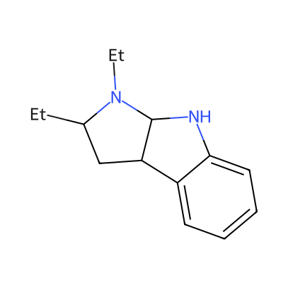 CCC1CC2c3ccccc3NC2N1CC